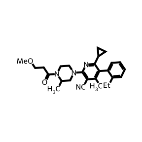 CCc1ccccc1-c1c(C2CC2)nc(N2CCN(C(=O)CCOC)C(C)C2)c(C#N)c1C